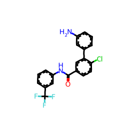 Nc1cccc(-c2cc(C(=O)Nc3cccc(C(F)(F)F)c3)ccc2Cl)c1